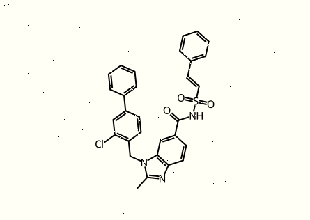 Cc1nc2ccc(C(=O)NS(=O)(=O)C=Cc3ccccc3)cc2n1Cc1ccc(-c2ccccc2)cc1Cl